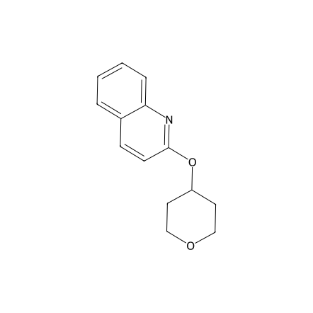 c1ccc2nc(OC3CCOCC3)ccc2c1